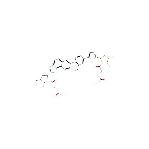 COC(=O)NCC(=O)N1C(c2nc3ccc4cc5c(cc4c3[nH]2)OCc2cc(-c3cnc(C4C[C@@H](C)C(C)N4C(=O)CNC(=O)OC)[nH]3)ccc2-5)CC(C)C1C